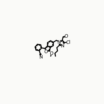 CCCCc1nc(Cl)c(C=O)n1Cc1ccc2c(-c3ccccc3C#N)oc(OC)c2c1